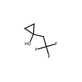 OC1(CC(F)(F)F)CC1